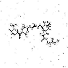 CC(=O)OC(C)/C=C\C(=O)NC1CC(C)C(C/C=C(C)/C=C/C2O[C@H](CC(=O)N(C)CCN(C)C(=O)CBr)CC3(CO3)[C@@H]2O)OC1C